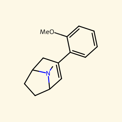 COc1ccccc1C1=CC2CCC(C1)N2C